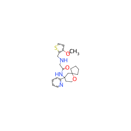 COc1ccsc1CNCC(=O)NC1(c2ccccn2)CCOC2(CCCC2)C1